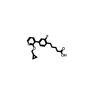 O=C(O)CCCCc1ccc(-c2cccnc2OCC2CC2)cc1F